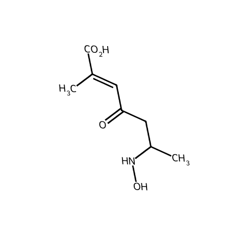 CC(=CC(=O)CC(C)NO)C(=O)O